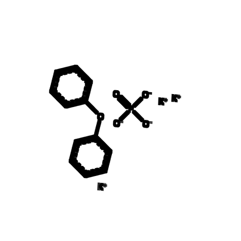 O=P([O-])([O-])[O-].[K+].[K+].[K+].c1ccc(Oc2ccccc2)cc1